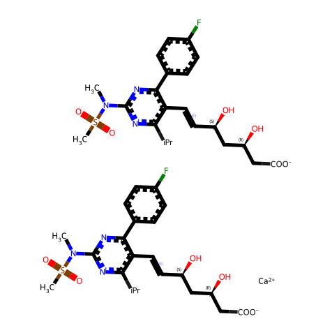 CC(C)c1nc(N(C)S(C)(=O)=O)nc(-c2ccc(F)cc2)c1/C=C/[C@@H](O)C[C@@H](O)CC(=O)[O-].CC(C)c1nc(N(C)S(C)(=O)=O)nc(-c2ccc(F)cc2)c1/C=C/[C@@H](O)C[C@@H](O)CC(=O)[O-].[Ca+2]